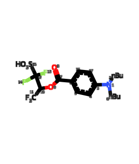 CCCCN(CCCC)c1ccc(C(=O)OC(C(F)(F)F)C(F)(F)S(=O)(=O)O)cc1